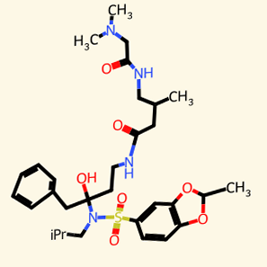 CC(C)CN(C(O)(CCNC(=O)CC(C)CNC(=O)CN(C)C)Cc1ccccc1)S(=O)(=O)c1ccc2c(c1)OC(C)O2